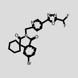 O=C1c2ccc(Br)cc2C2(CCCCC2)C(=O)N1Cc1ccc(-c2nnc(C(F)F)o2)cn1